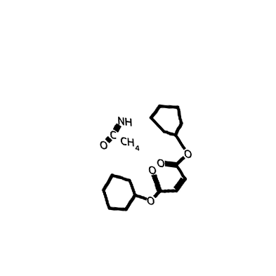 C.N=C=O.O=C(/C=C\C(=O)OC1CCCCC1)OC1CCCCC1